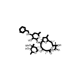 CC[C@@H](O)[C@@](C)(O)[C@@H]1OC(=O)[C@H](C)[C@@H](O[C@H]2CC(C)(OC)[C@@H](O)C(C)O2)[C@H](C)[C@@H](O[C@@H]2OC(C)CC(NCc3ccccc3)C2O)[C@@]2(C)CC(C)C(O2)[C@@H]1C